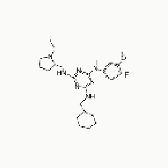 CCN1CCCC1CNc1nc(NCC2CCCCC2)nc(Nc2ccc(F)c(OC)c2)n1